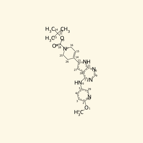 COc1ccc(Nc2ncnc3[nH]c(C4=CCN(C(=O)OC(C)(C)C)CC4)cc23)cn1